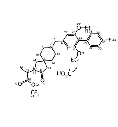 CC(=O)O.CCOc1cc(CN2CCC3(CC2)CC(=O)N(C(C)C(=O)OC(F)(F)F)C3)cc(OCC)c1-c1ccc(F)cc1